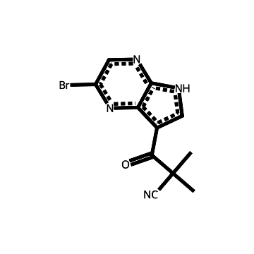 CC(C)(C#N)C(=O)c1c[nH]c2ncc(Br)nc12